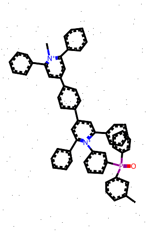 Cc1cccc(P(=O)(c2ccccc2)c2cccc(-[n+]3c(-c4ccccc4)cc(-c4ccc(-c5cc(-c6ccccc6)[n+](C)c(-c6ccccc6)c5)cc4)cc3-c3ccccc3)c2)c1